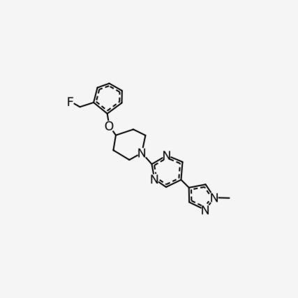 Cn1cc(-c2cnc(N3CCC(Oc4ccccc4CF)CC3)nc2)cn1